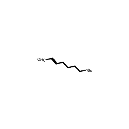 CCCCCCCC/C=C/[C]=O